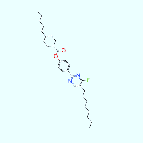 CCCCCCCCc1cnc(-c2ccc(OC(=O)[C@H]3CC[C@H](CCCCC)CC3)cc2)nc1F